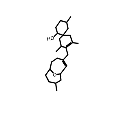 CC1=C(CC2=CC3CC(C)CCC(CC2)O3)C(C)CC2(C1)CC(C)CCC2O